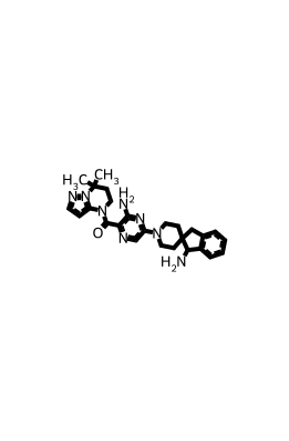 CC1(C)CCN(C(=O)c2ncc(N3CCC4(CC3)Cc3ccccc3C4N)nc2N)c2ccnn21